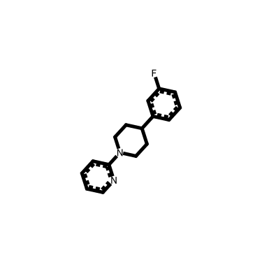 Fc1cccc(C2CCN(c3ccccn3)CC2)c1